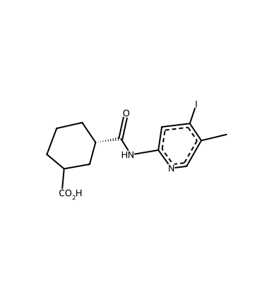 Cc1cnc(NC(=O)[C@H]2CCCC(C(=O)O)C2)cc1I